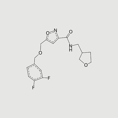 O=C(NCC1CCOC1)c1cc(COCc2ccc(F)c(F)c2)on1